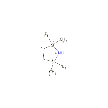 CC[Si]1(C)CC[Si](C)(CC)N1